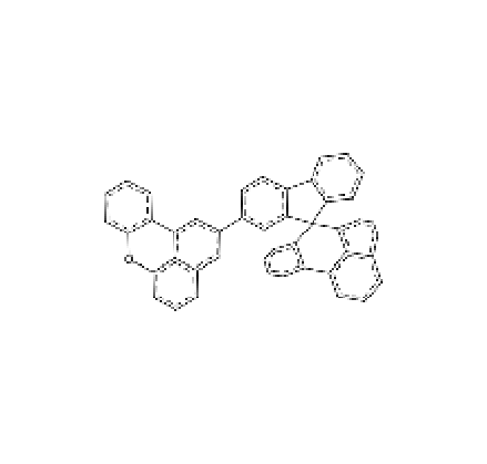 c1ccc2c(c1)Oc1cccc3cc(-c4ccc5c(c4)C4(c6ccccc6-5)c5ccccc5-c5cccc6cccc4c56)cc-2c13